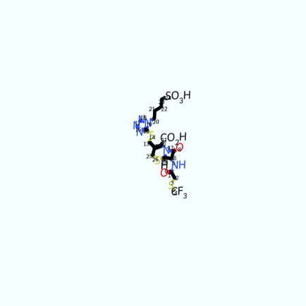 O=C(CSC(F)(F)F)NC1C(=O)N2C(C(=O)O)=C(CSc3nnnn3CCCCS(=O)(=O)O)CS[C@H]12